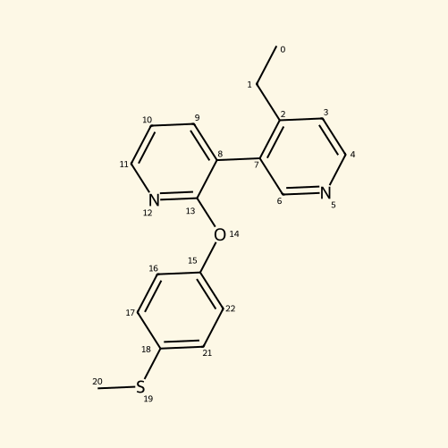 CCc1ccncc1-c1cccnc1Oc1ccc(SC)cc1